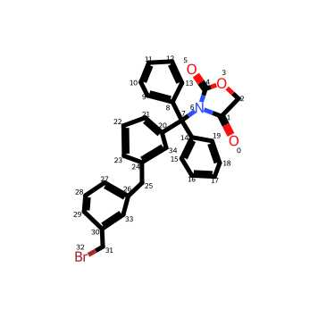 O=C1COC(=O)N1C(c1ccccc1)(c1ccccc1)c1cccc(Cc2cccc(CBr)c2)c1